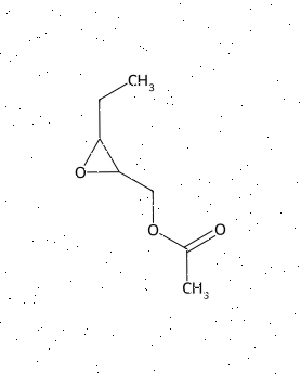 CCC1OC1COC(C)=O